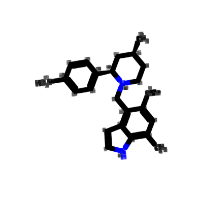 COc1cc(C)c2[nH]ccc2c1CN1CC[C@H](C)C[C@@H]1c1ccc(S(=O)(=O)O)cc1